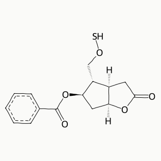 O=C1C[C@@H]2[C@@H](COS)[C@H](OC(=O)c3ccccc3)C[C@@H]2O1